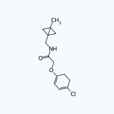 CC12CC1(CNC(=O)COC1=CC=C(Cl)CC1)C2